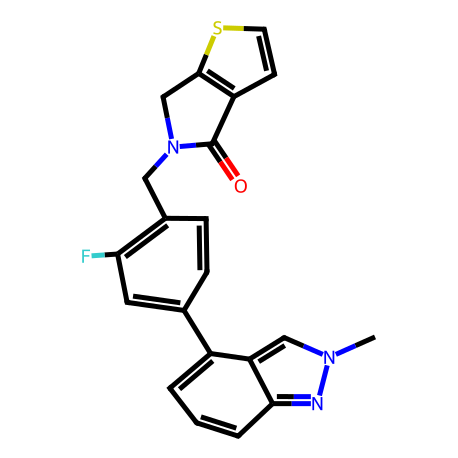 Cn1cc2c(-c3ccc(CN4Cc5sccc5C4=O)c(F)c3)cccc2n1